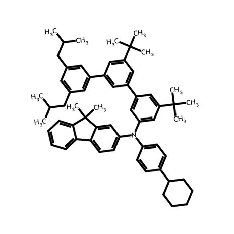 CC(C)Cc1cc(CC(C)C)cc(-c2cc(-c3cc(N(c4ccc(C5CCCCC5)cc4)c4ccc5c(c4)C(C)(C)c4ccccc4-5)cc(C(C)(C)C)c3)cc(C(C)(C)C)c2)c1